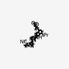 CC(C)c1ccc(N2CC(CS(C)(=O)=O)C2)c2cnc(Nc3ccnc(-c4cnn(CC5(CC#N)CC5)c4)n3)cc12